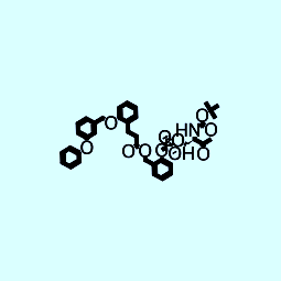 CC(=O)[C@H](COP(=O)(O)Oc1ccccc1COC(=O)CCc1ccccc1OCc1cccc(Oc2ccccc2)c1)NC(=O)OC(C)(C)C